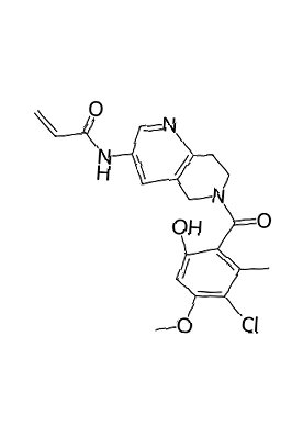 C=CC(=O)Nc1cnc2c(c1)CN(C(=O)c1c(O)cc(OC)c(Cl)c1C)CC2